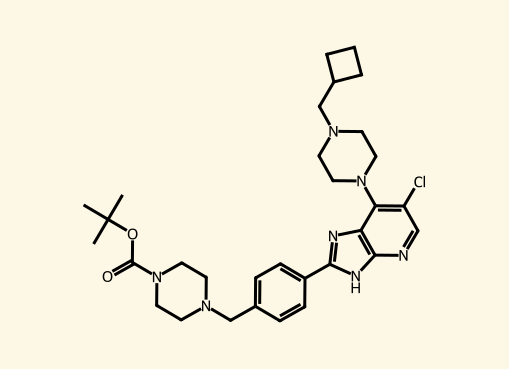 CC(C)(C)OC(=O)N1CCN(Cc2ccc(-c3nc4c(N5CCN(CC6CCC6)CC5)c(Cl)cnc4[nH]3)cc2)CC1